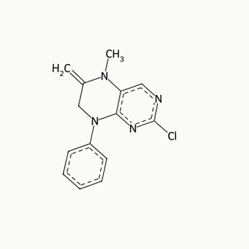 C=C1CN(c2ccccc2)c2nc(Cl)ncc2N1C